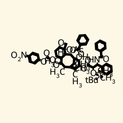 CC(=O)O[C@@]12COC1C[C@H](OC(=O)Oc1ccc([N+](=O)[O-])cc1)[C@@]1(C)C(=O)[C@H](C)C3=C(C)[C@@H](OC(=O)[C@H](O[Si](C)(C)C(C)(C)C)[C@@H](NC(=O)c4ccccc4)c4ccccc4)C[C@@](O)([C@@H](OC(=O)c4ccccc4)[C@@H]12)C3(C)C